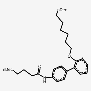 CCCCCCCCCCCCCCCCOc1[c]cccc1-c1ccc(NC(=O)CCCCCCCCCCCCC)cc1